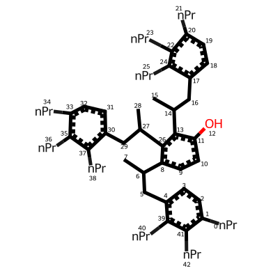 CCCc1ccc(CC(C)c2ccc(O)c(C(C)Cc3ccc(CCC)c(CCC)c3CCC)c2C(C)Cc2ccc(CCC)c(CCC)c2CCC)c(CCC)c1CCC